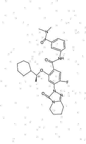 C[C@H](Oc1cc(-n2nc3n(c2=O)CCCC3)c(F)cc1C(=O)Nc1cccc(C(=O)N(C)C)c1)C1CCCCC1